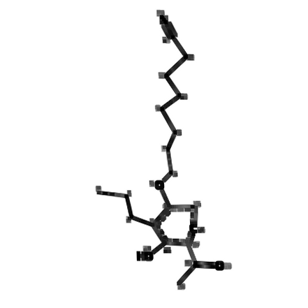 CCCc1c(OCCCCCCCC#N)ccc(C(C)=O)c1O